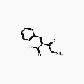 NCC(=O)C(=Cc1ccccc1)C(=O)Cl